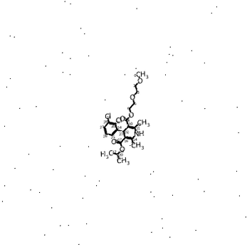 COCCOCCOC(=O)C1=C(C)NC(C)=C(C(=O)OC(C)C)[C@H]1c1cccc(Cl)c1Cl